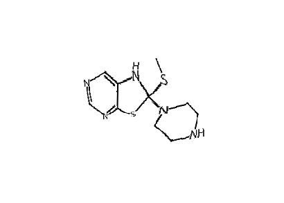 CSC1(N2CCNCC2)Nc2cncnc2S1